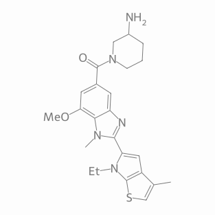 CCn1c(-c2nc3cc(C(=O)N4CCCC(N)C4)cc(OC)c3n2C)cc2c(C)csc21